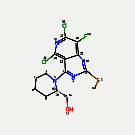 CSc1nc(N2CCCC[C@H]2CO)c2c(Cl)nc(Cl)c(F)c2n1